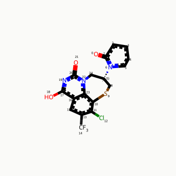 O=c1ccccn1[C@@H]1CSc2c(Cl)c(C(F)(F)F)cc3c(O)nc(=O)n(c23)C1